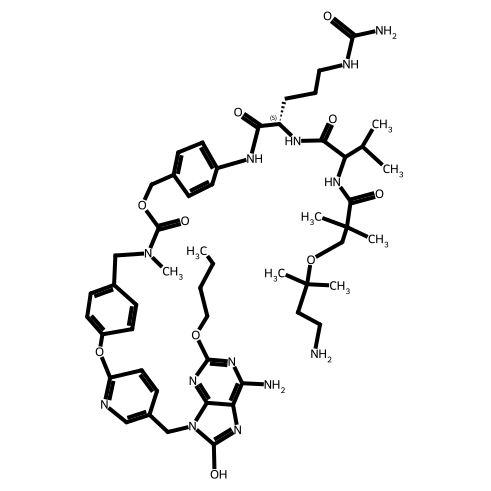 CCCCOc1nc(N)c2nc(O)n(Cc3ccc(Oc4ccc(CN(C)C(=O)OCc5ccc(NC(=O)[C@H](CCCNC(N)=O)NC(=O)C(NC(=O)C(C)(C)COC(C)(C)CCN)C(C)C)cc5)cc4)nc3)c2n1